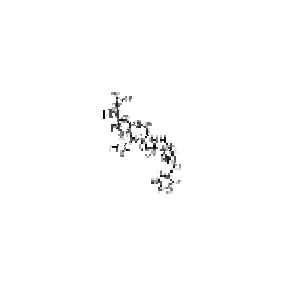 CN1C(=O)[C@@H](NC(=O)c2ncn(Cc3ccccc3)n2)CSc2cc(NC3CC3)ncc21